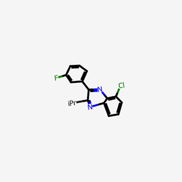 CC(C)c1nc2cccc(Cl)c2nc1-c1cccc(F)c1